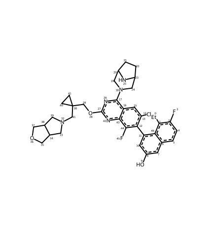 CCc1c(F)ccc2cc(O)cc(-c3c(Cl)cc4c(N5CC6CCC(C5)N6)nc(OCC5(CN6CC7COCC7C6)CC5)nc4c3F)c12